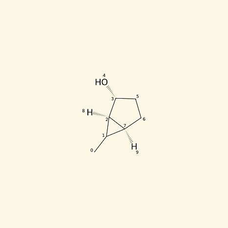 CC1[C@H]2[C@H](O)CC[C@@H]12